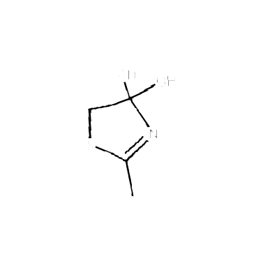 CC1=NC(O)(O)CS1